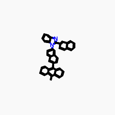 Cc1c2ccccc2c(-c2ccc3cc(-n4c(-c5ccc6ccccc6c5)nc5ccccc54)ccc3c2)c2ccccc12